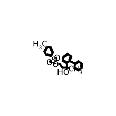 Cc1ccc(S(=O)(=O)OCCC(C)(O)c2ccccc2-c2ccccc2)cc1